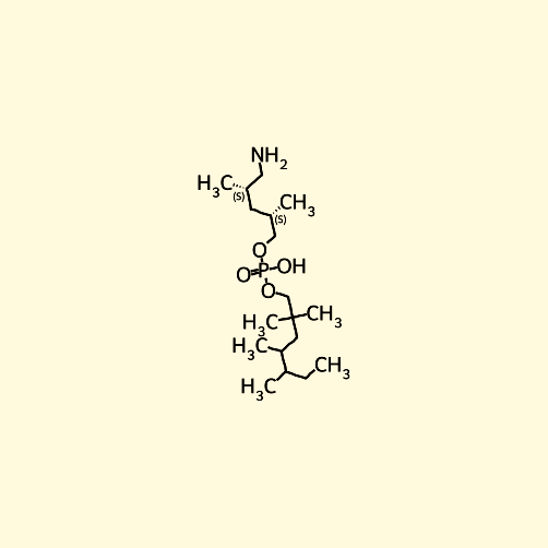 CCC(C)C(C)CC(C)(C)COP(=O)(O)OC[C@@H](C)C[C@H](C)CN